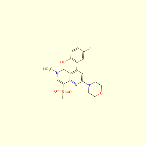 CS(=O)(=O)C1=CN(C(=O)O)Cc2c(-c3cc(F)ccc3O)cc(N3CCOCC3)nc21